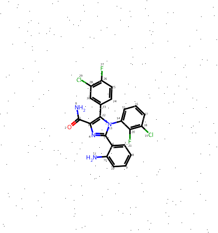 NC(=O)c1nc(-c2ccccc2N)n(-c2cccc(Cl)c2F)c1-c1ccc(F)c(Cl)c1